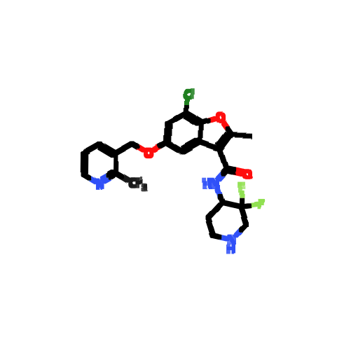 Cc1oc2c(Cl)cc(OCc3cccnc3C(F)(F)F)cc2c1C(=O)NC1CCNCC1(F)F